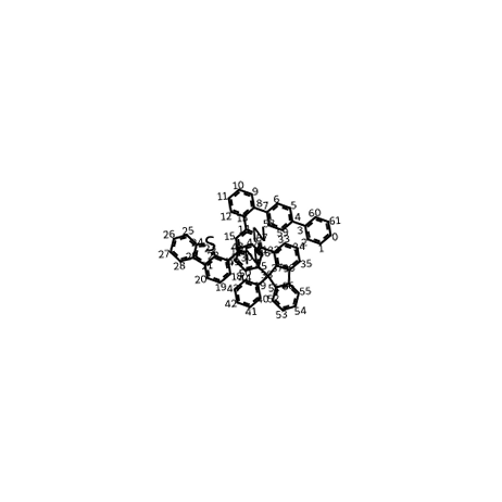 c1ccc(-c2ccc(-c3ccccc3-c3cc(-c4cccc5c4sc4ccccc45)nc(-c4cccc5c4C(c4ccccc4)(c4ccccc4)c4ccccc4-5)n3)cc2)cc1